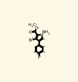 COC(=O)c1c(Br)c(-c2ccc(F)cc2)cn1N